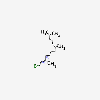 CC(C)=CCCC(C)CC/C=C/C(C)=C/CBr